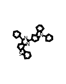 c1ccc(-c2nc(-c3ccc4c(c3)c3ccccc3n4-c3ccccc3)nc3c2ccc2sc4ccccc4c23)cc1